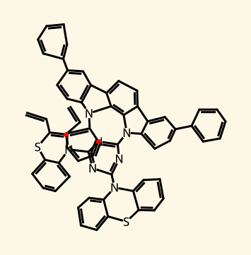 C=CC1=C(C=C)N(c2nc(N3c4ccccc4Sc4ccccc43)nc(-n3c4ccc(-c5ccccc5)cc4c4ccc5c6cc(-c7ccccc7)ccc6n(-c6c#cccc6)c5c43)n2)c2ccccc2S1